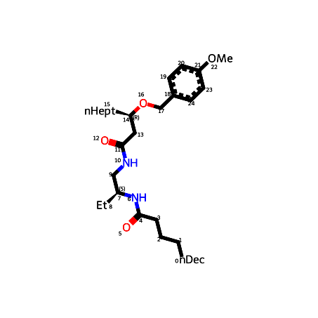 CCCCCCCCCCCCCC(=O)N[C@@H](CC)CNC(=O)C[C@@H](CCCCCCC)OCc1ccc(OC)cc1